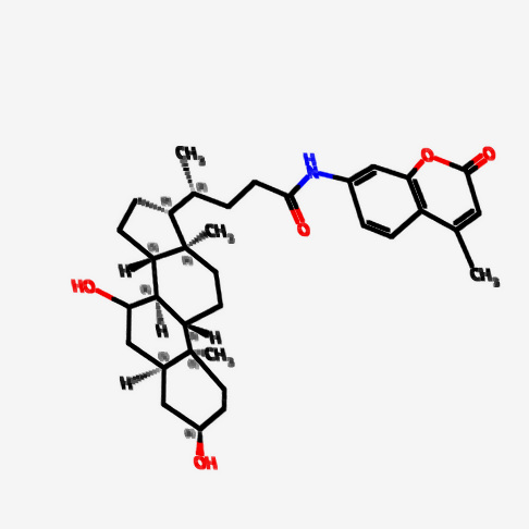 Cc1cc(=O)oc2cc(NC(=O)CC[C@@H](C)[C@H]3CC[C@H]4[C@@H]5C(O)C[C@@H]6C[C@H](O)CC[C@]6(C)[C@H]5CC[C@]34C)ccc12